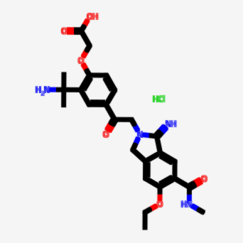 CCOc1cc2c(cc1C(=O)NC)C(=N)N(CC(=O)c1ccc(OCC(=O)O)c(C(C)(C)N)c1)C2.Cl